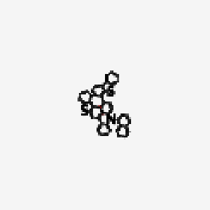 c1ccc(N(c2ccc(-c3cccc4c3sc3ccccc34)cc2)c2cccc3ccccc23)c(-c2ccc3c(c2)sc2ccccc23)c1